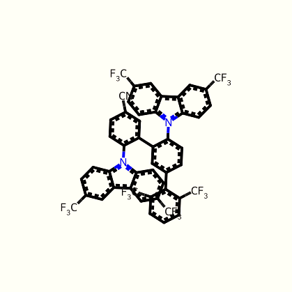 N#Cc1ccc(-n2c3ccc(C(F)(F)F)cc3c3cc(C(F)(F)F)ccc32)c(-c2cc(-c3c(C(F)(F)F)cccc3C(F)(F)F)ccc2-n2c3ccc(C(F)(F)F)cc3c3cc(C(F)(F)F)ccc32)c1